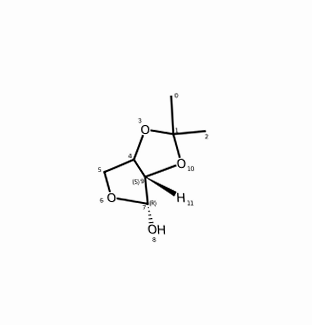 CC1(C)OC2CO[C@@H](O)[C@H]2O1